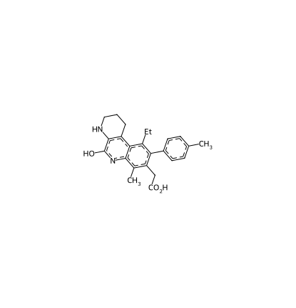 CCc1c(-c2ccc(C)cc2)c(CC(=O)O)c(C)c2nc(O)c3c(c12)CCCN3